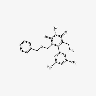 CCc1c(-c2cc(C)cc(C)c2)n(COCc2ccccc2)c(=S)n([Se])c1=O